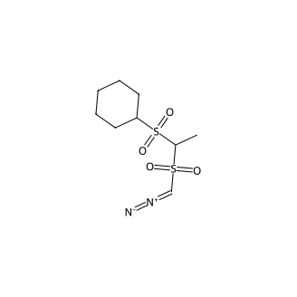 CC(S(=O)(=O)C=[N+]=[N-])S(=O)(=O)C1CCCCC1